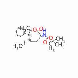 CCC[C@H]1CCC[C@H](NC(=O)OC(C)(C)C)C(=O)O[C@@H](C)[C@@H]1c1ccccc1